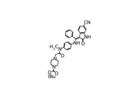 CN(C(=O)CN1CCN(C(=O)OC(C)(C)C)CC1)c1ccc(N/C(=C2\C(=O)Nc3cc(C#N)ccc32)c2ccccc2)cc1